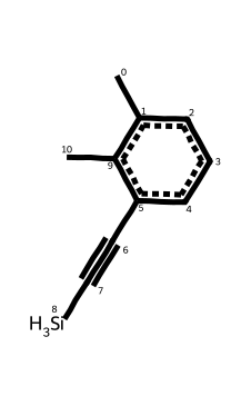 Cc1cccc(C#C[SiH3])c1C